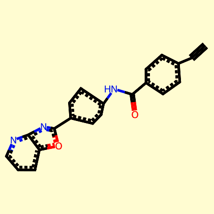 C#Cc1ccc(C(=O)Nc2ccc(-c3nc4ncccc4o3)cc2)cc1